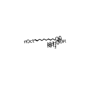 CCCCCCCCC=CCCCCCCCCOP(=O)(O)O.N.N